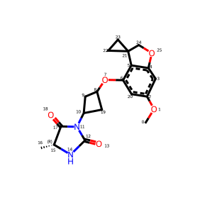 COc1cc2c(c(OC3CC(N4C(=O)N[C@H](C)C4=O)C3)c1)C1(CC1)CO2